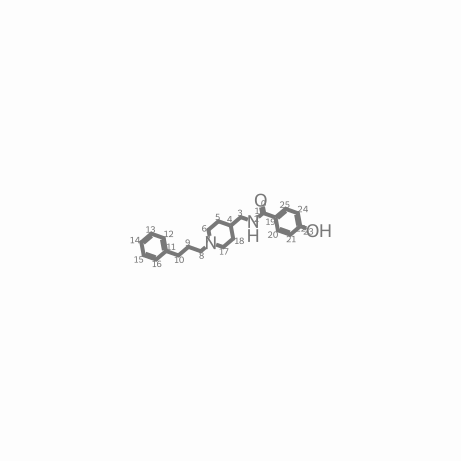 O=C(NCC1CCN(CCCc2ccccc2)CC1)c1ccc(O)cc1